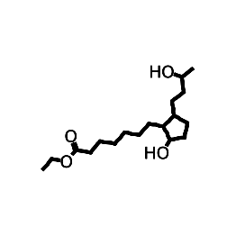 CCOC(=O)CCCCCCC1C(O)CCC1CCC(C)O